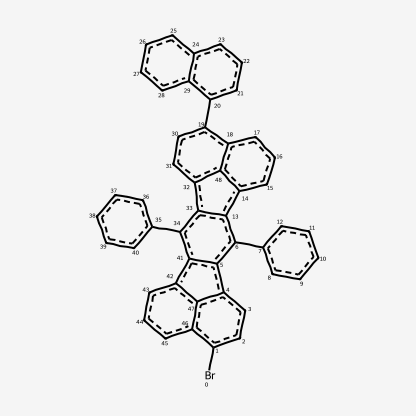 Brc1ccc2c3c(-c4ccccc4)c4c5cccc6c(-c7cccc8ccccc78)ccc(c4c(-c4ccccc4)c3c3cccc1c23)c65